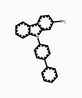 Bc1ccc2c3ccccc3n(-c3ccc(-c4ccccc4)cc3)c2c1